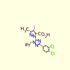 Cc1nn(-c2nc(-c3ccc(Cl)c(Cl)c3)nn2CC(C)C)c(C(=O)O)c1I